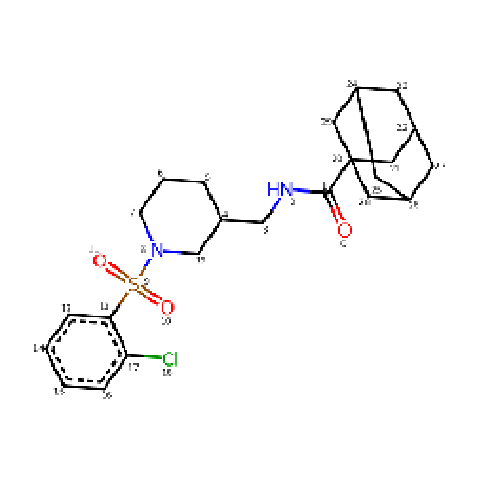 O=C(NCC1CCCN(S(=O)(=O)c2ccccc2Cl)C1)C12CC3CC(CC(C3)C1)C2